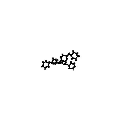 c1ccc(Oc2cc(Sc3ccncc3)cnc2Nc2nc(-c3ccccc3)cs2)cc1